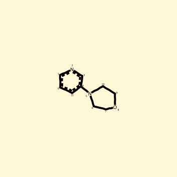 [c]1cncc(N2CCOCC2)c1